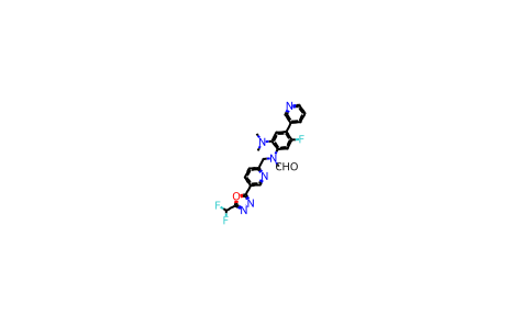 CN(C)c1cc(-c2cccnc2)c(F)cc1N(C=O)Cc1ccc(-c2nnc(C(F)F)o2)cn1